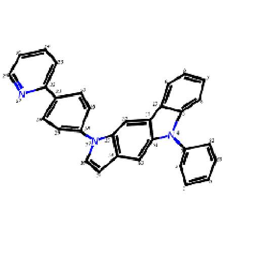 c1ccc(-n2c3ccccc3c3cc4c(ccn4-c4ccc(-c5ccccn5)cc4)cc32)cc1